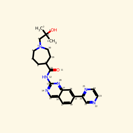 CC(C)(O)CN1CCCC(C(=O)Nc2ncc3ccc(-c4cnccn4)cc3n2)CC1